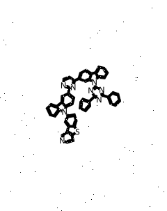 c1ccc(-c2nc(-c3ccccc3)nc(-n3c4ccccc4c4ccc(-c5ccnc(-c6ccc7c(c6)c6ccccc6n7-c6ccc7sc8ccncc8c7c6)n5)cc43)n2)cc1